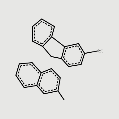 CCc1ccc2c(c1)-c1ccccc1C2.Cc1ccc2ccccc2c1